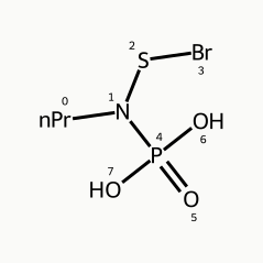 CCCN(SBr)P(=O)(O)O